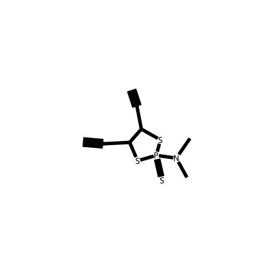 C#CC1SP(=S)(N(C)C)SC1C#C